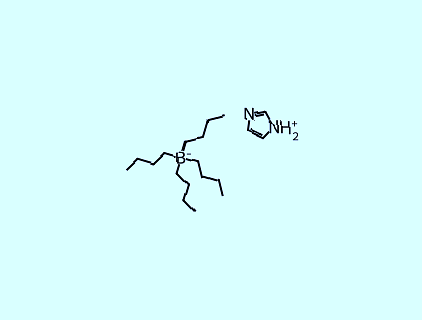 C1=C[NH2+]C=N1.CCCC[B-](CCCC)(CCCC)CCCC